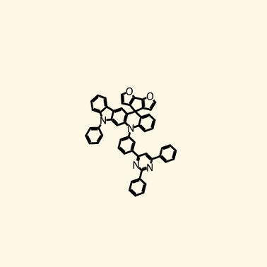 c1ccc(-c2cc(-c3cccc(N4c5ccccc5C5(c6cc7c8ccccc8n(-c8ccccc8)c7cc64)c4ccoc4-c4occc45)c3)nc(-c3ccccc3)n2)cc1